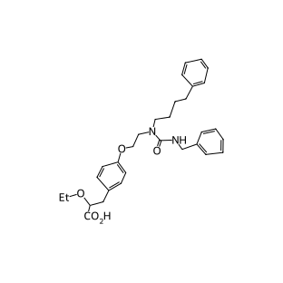 CCOC(Cc1ccc(OCCN(CCCCc2ccccc2)C(=O)NCc2ccccc2)cc1)C(=O)O